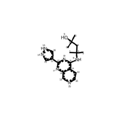 CC(C)(O)CC(C)(C)Nc1nc(-c2cn[nH]c2)nc2cnccc12